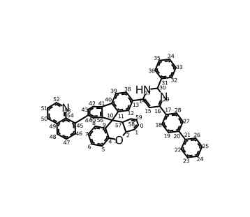 C1=CC2Oc3ccccc3C3(c4cc(C5=CC(c6ccc(-c7ccccc7)cc6)=NC(c6ccccc6)N5)ccc4-c4ccc(-c5cccc6cccnc56)cc43)C2C=C1